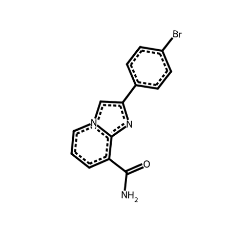 NC(=O)c1cccn2cc(-c3ccc(Br)cc3)nc12